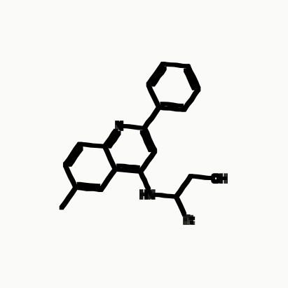 CCC(CO)Nc1cc(-c2ccccc2)nc2ccc(C)cc12